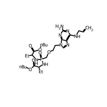 C=CCNc1nc(N)nc2c1ncn2CCOCP(=O)(NC(CC)C(=O)OCCCC)NC(CC)C(=O)OCCCC